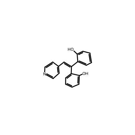 Oc1ccccc1C(=Cc1ccncc1)c1ccccc1O